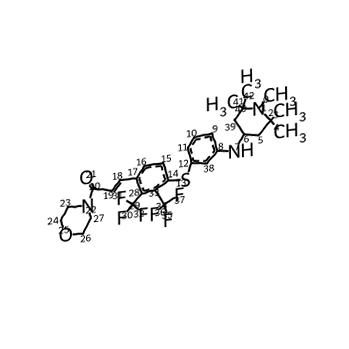 CN1C(C)(C)CC(Nc2cccc(Sc3ccc(/C=C/C(=O)N4CCOCC4)c(C(F)(F)F)c3C(F)(F)F)c2)CC1(C)C